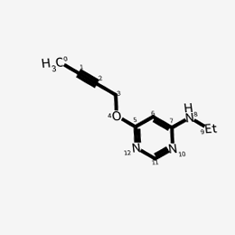 CC#CCOc1cc(NCC)ncn1